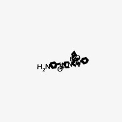 Nc1ccc(C[S@@+]([O-])N2CCN(c3cnn(-c4ccccc4)c(=O)c3OC3CCC3)CC2)cc1